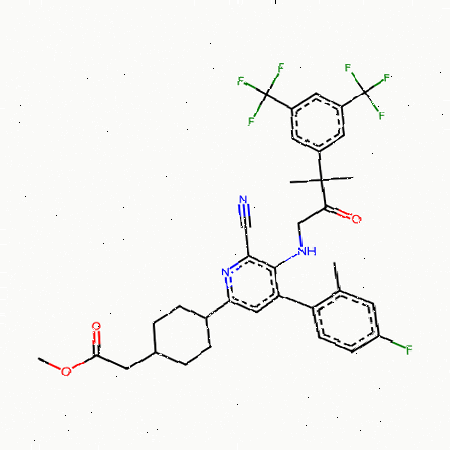 COC(=O)CC1CCC(c2cc(-c3ccc(F)cc3C)c(NCC(=O)C(C)(C)c3cc(C(F)(F)F)cc(C(F)(F)F)c3)c(C#N)n2)CC1